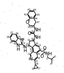 CC(C)CNS(=O)(=O)c1cc2c(c3cnc(C4CC4)cc13)[C@H](Nc1nc3ccccc3[nH]1)C[C@H]2NC(=O)NC1COc2ccccc2C1